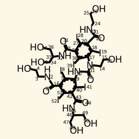 O=C(NCCO)c1c(I)c(NC(=O)N(CCO)c2c(I)c(C(=O)NCCO)c(I)c(C(=O)NC(CO)CO)c2I)c(I)c(C(=O)NC(CO)CO)c1I